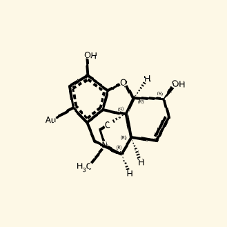 CN1CC[C@]23c4c5[c]([Au])cc(O)c4O[C@H]2[C@@H](O)C=C[C@H]3[C@H]1C5